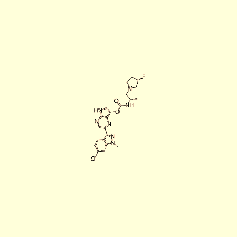 C[C@H](CN1CC[C@@H](F)C1)NC(=O)Oc1c[nH]c2ncc(-c3nn(C)c4cc(Cl)ccc34)nc12